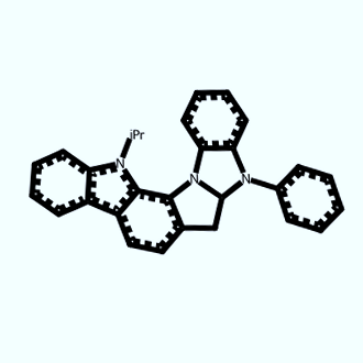 CC(C)n1c2ccccc2c2ccc3c(c21)N1c2ccccc2N(c2ccccc2)C1C3